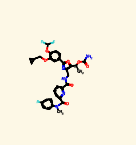 C[C@H](OC(N)=O)c1oc(-c2ccc(OC(F)F)c(OCC3CC3)c2)nc1CNC(=O)c1cccc(C(=O)N(C)c2ccc(F)cc2)n1